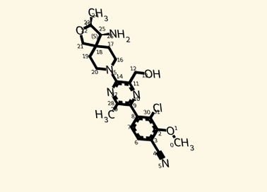 COc1c(C#N)ccc(-c2nc(CO)c(N3CCC4(CC3)CO[C@@H](C)[C@H]4N)nc2C)c1Cl